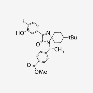 COC(=O)c1ccc([C@@H](C)N2C(=O)C(c3ccc(I)c(O)c3)=NC23CCC(C(C)(C)C)CC3)cc1